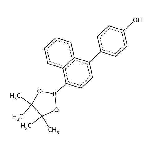 CC1(C)OB(c2ccc(-c3ccc(O)cc3)c3ccccc23)OC1(C)C